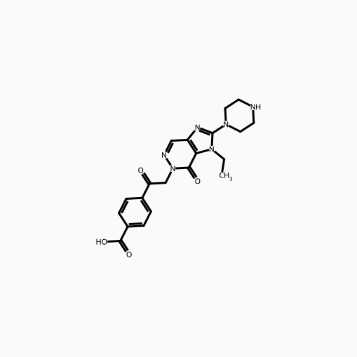 CCn1c(N2CCNCC2)nc2cnn(CC(=O)c3ccc(C(=O)O)cc3)c(=O)c21